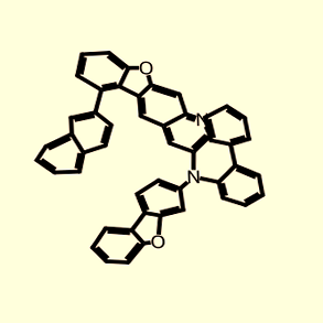 c1ccc(-c2ccccc2N(c2cnc3cc4oc5cccc(-c6ccc7ccccc7c6)c5c4cc3c2)c2ccc3c(c2)oc2ccccc23)cc1